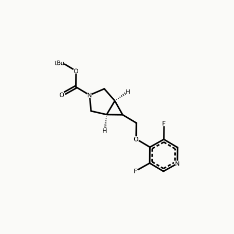 CC(C)(C)OC(=O)N1C[C@@H]2C(COc3c(F)cncc3F)[C@@H]2C1